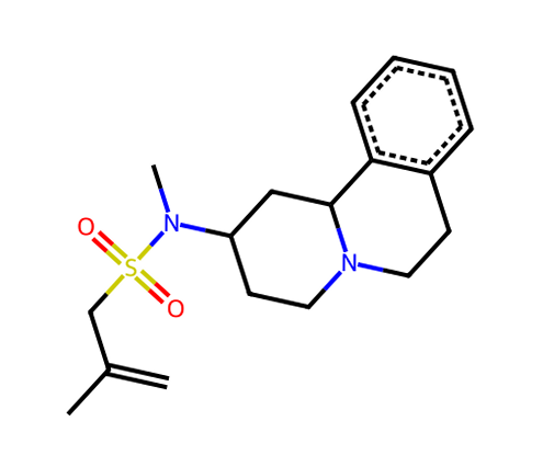 C=C(C)CS(=O)(=O)N(C)C1CCN2CCc3ccccc3C2C1